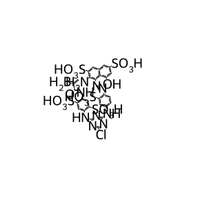 BC(=C)C(=O)Nc1cc(S(=O)(=O)O)c(Nc2nc(Cl)nc(Nc3ccc(/N=N/c4c(N)c(S(=O)(=O)O)cc5cc(S(=O)(=O)O)cc(O)c45)c(S(=O)(=O)O)c3)n2)cc1S(=O)(=O)O